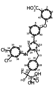 O=C(O)c1cccc(Oc2cccc(-c3nn(Cc4ccc(C(F)(F)P(=O)(O)O)cc4)c(=Nc4ccc(Cl)c(Cl)c4)s3)c2)c1